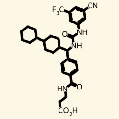 N#Cc1cc(NC(=O)NC(c2ccc(C(=O)NCCC(=O)O)cc2)C2CCC(C3CCCCC3)CC2)cc(C(F)(F)F)c1